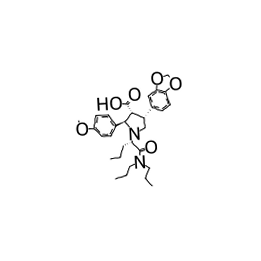 CCC[C@@H](C(=O)N(CCC)CCC)N1C[C@@H](c2ccc3c(c2)OCO3)[C@@H](C(=O)O)[C@@H]1c1ccc(OC)cc1